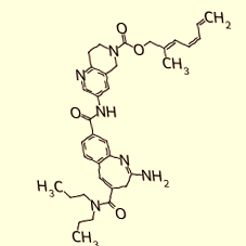 C=C/C=C\C=C(/C)COC(=O)N1CCc2ncc(NC(=O)c3ccc4c(c3)N=C(N)CC(C(=O)N(CCC)CCC)=C4)cc2C1